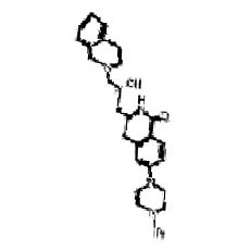 CC(C)N1CCN(c2ccc3c(c2)CC(C[C@@H](O)CN2CCc4ccccc4C2)NC3=O)CC1